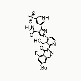 CC(C)(C)c1cc(F)c2c(=O)n(-c3nccc(-n4cc(C(N)=O)c(C5=CNCC(S(C)(=O)=O)=C5)n4)c3CO)ncc2c1